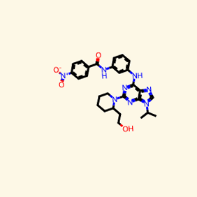 CC(C)n1cnc2c(Nc3cccc(NC(=O)c4ccc([N+](=O)[O-])cc4)c3)nc(N3CCCCC3CCO)nc21